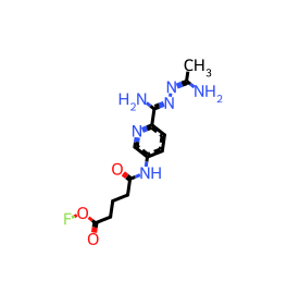 C/C(N)=N/N=C(\N)c1ccc(NC(=O)CCCC(=O)OF)cn1